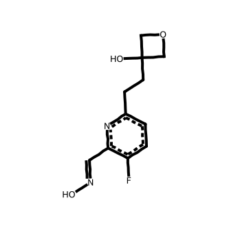 O/N=C/c1nc(CCC2(O)COC2)ccc1F